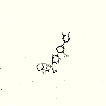 Cn1ccc(-c2ccc(-c3ncc(N(C4CC4)[C@H]4CC5CCC[C@H](C5)C4(F)F)nn3)c(O)c2)cc1=O